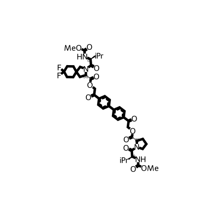 COC(=O)N[C@H](C(=O)N1CCC[C@H]1C(=O)OCC(=O)c1ccc(-c2ccc(C(=O)COC(=O)[C@@H]3CC4(CCC(F)(F)CC4)CN3C(=O)[C@@H](NC(=O)OC)C(C)C)cc2)cc1)C(C)C